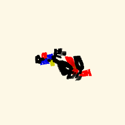 Cc1ccc(-c2sc(NC(=O)C3CCCC3)nc2C)cc1S(=O)(=O)C1CCC[C@H]1CO